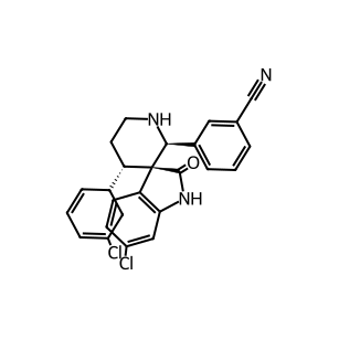 N#Cc1cccc([C@@H]2NCC[C@@H](C3C=CC=C(Cl)C3)[C@]23C(=O)Nc2cc(Cl)ccc23)c1